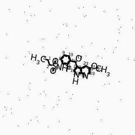 CCCS(=O)(=O)Nc1cccc(C(=O)c2c[nH]c3ncc(OC)cc23)c1F